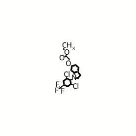 CCOC(=O)COc1ccc2ccn(-c3c(Cl)cc(C(F)(F)F)cc3Cl)c2c1